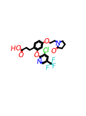 O=C(O)CCc1ccc(OCCN2CCCC2=O)cc1Oc1ncc(C(F)(F)F)cc1Cl